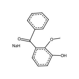 COc1c(O)cccc1C(=O)c1ccccc1.[NaH]